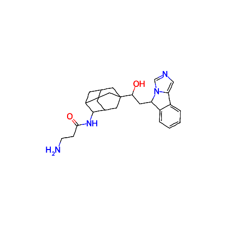 NCCC(=O)NC1C2CC3CC1CC(C(O)CC1c4ccccc4-c4cncn41)(C3)C2